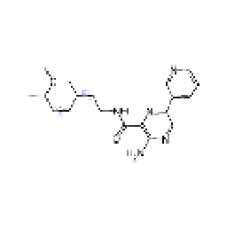 C=C(/C=C\C(C)=C/CNC(=O)c1nc(-c2cccnc2)cnc1N)OC